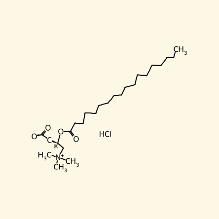 CCCCCCCCCCCCCCCCCC(=O)O[C@H](CC(=O)[O-])C[N+](C)(C)C.Cl